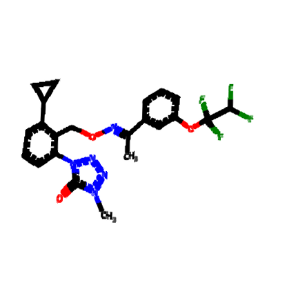 CC(=NOCc1c(C2CC2)cccc1-n1nnn(C)c1=O)c1cccc(OC(F)(F)C(F)F)c1